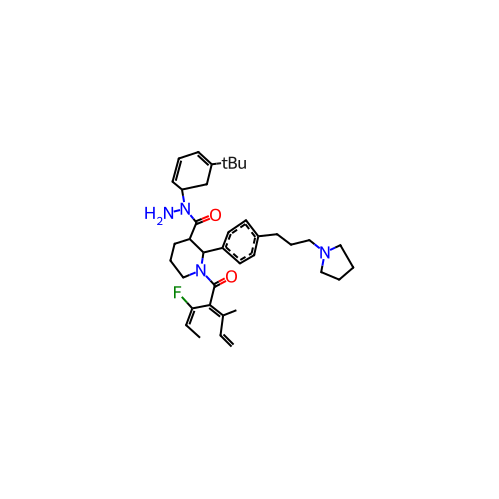 C=C/C(C)=C(C(=O)N1CCCC(C(=O)N(N)C2C=CC=C(C(C)(C)C)C2)C1c1ccc(CCCN2CCCC2)cc1)\C(F)=C/C